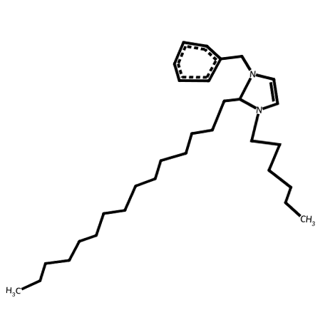 CCCCCCCCCCCCCCCC1N(CCCCCC)C=CN1Cc1ccccc1